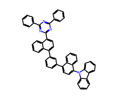 c1ccc(-c2nc(-c3ccccc3)nc(-c3ccc(-c4cccc(-c5ccc(-n6c7ccccc7c7ccccc76)c6ccccc56)c4)c4ccccc34)n2)cc1